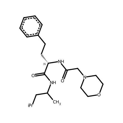 CC(C)CC(C)NC(=O)[C@H](CCc1ccccc1)NC(=O)CN1CCOCC1